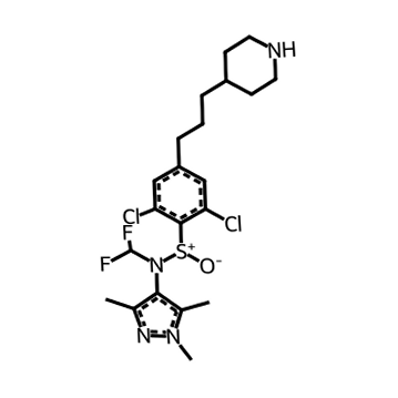 Cc1nn(C)c(C)c1N(C(F)F)[S+]([O-])c1c(Cl)cc(CCCC2CCNCC2)cc1Cl